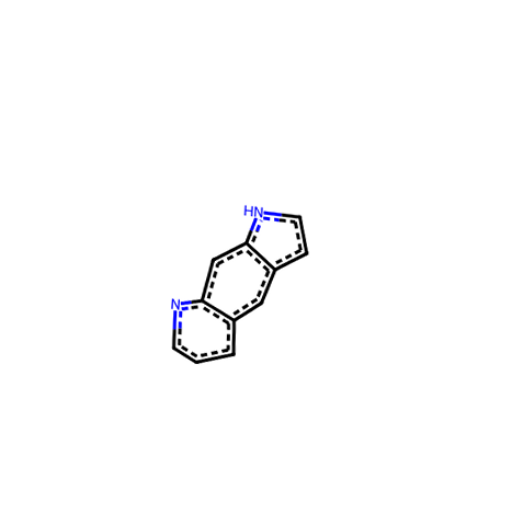 c1cnc2cc3[nH]ccc3cc2c1